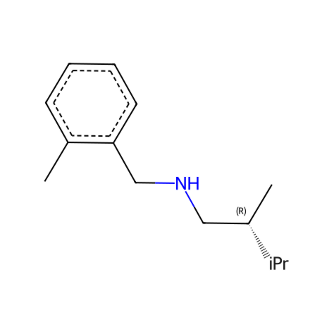 Cc1ccccc1CNC[C@H](C)C(C)C